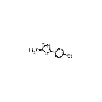 C=C1OC(c2ccc(CC)cc2)=NS1